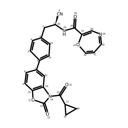 N#C[C@H](Cc1ccc(-c2ccc3oc(=O)n(C(=O)C4CC4)c3c2)cc1)NC(=O)C1=CN=CC=CO1